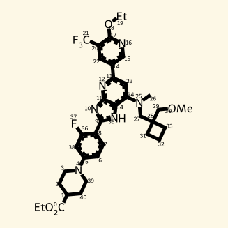 CCOC(=O)C1CCN(c2ccc(-c3nc4nc(-c5cnc(OCC)c(C(F)(F)F)c5)cc(N(C)CC5(COC)CCC5)c4[nH]3)c(F)c2)CC1